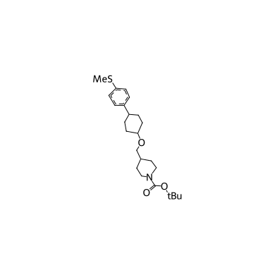 CSc1ccc(C2CCC(OCC3CCN(C(=O)OC(C)(C)C)CC3)CC2)cc1